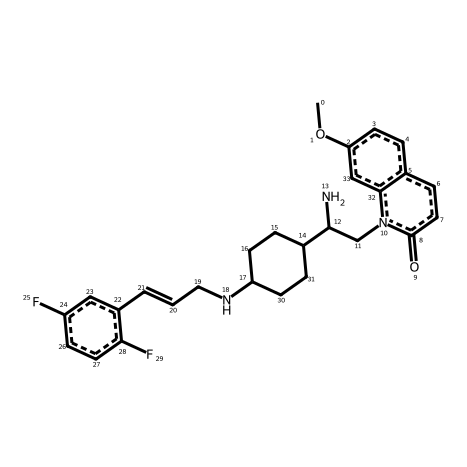 COc1ccc2ccc(=O)n(CC(N)C3CCC(NC/C=C/c4cc(F)ccc4F)CC3)c2c1